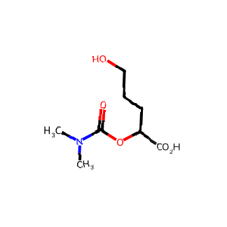 CN(C)C(=O)OC(CCCO)C(=O)O